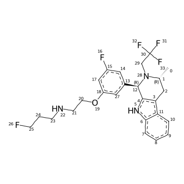 C[C@@H]1Cc2c([nH]c3ccccc23)[C@@H](c2cc(F)cc(OCCNCCCF)c2)N1CC(F)(F)F